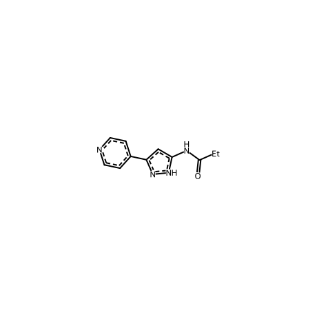 CCC(=O)Nc1cc(-c2ccncc2)n[nH]1